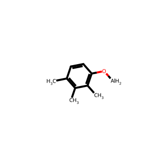 Cc1ccc([O][AlH2])c(C)c1C